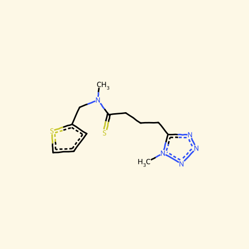 CN(Cc1cccs1)C(=S)CCCc1nnnn1C